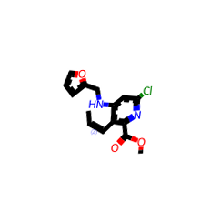 C/C=C\c1c(NCc2ccco2)cc(Cl)nc1C(=O)OC